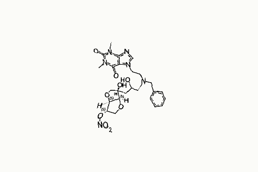 Cn1c(=O)c2c(ncn2CCN(Cc2ccccc2)CC(O)C[C@@]2(O)CO[C@@H]3[C@@H](O[N+](=O)[O-])CO[C@@H]32)n(C)c1=O